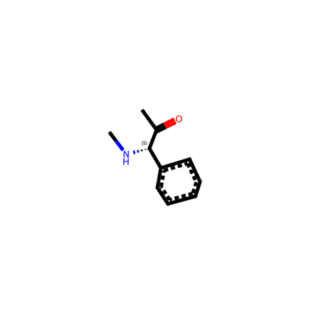 CN[C@H](C(C)=O)c1ccccc1